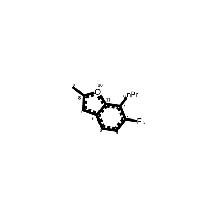 CCCc1c(F)ccc2cc(C)oc12